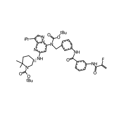 C=C(F)C(=O)Nc1cccc(C(=O)Nc2cccc(CN(C(=O)OC(C)(C)C)c3cc(N[C@H]4CCC(C)(C)N(C(=O)OC(C)(C)C)C4)nc4c(C(C)C)cnn34)c2)c1